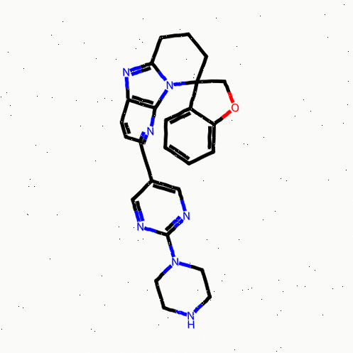 c1ccc2c(c1)OCC21CCCc2nc3ccc(-c4cnc(N5CCNCC5)nc4)nc3n21